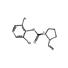 C=CN1CCC[C@@H]1C(=O)Oc1c(C(C)C)cccc1C(C)C